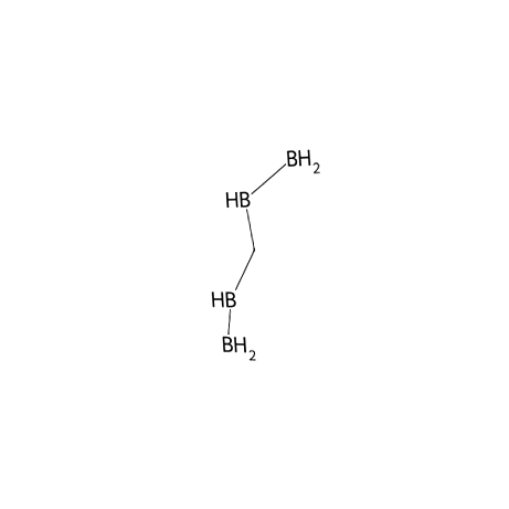 BBCBB